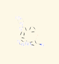 Cn1cncc1C1(N)c2ccc(C#N)c(c2)COc2cccc(c2)-c2cc(N3CCNCC3)nc3ccc1cc23